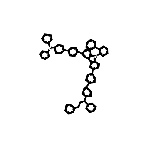 c1ccc(CCC(c2ccccc2)c2ccc(-c3ccc(-c4ccc5c(c4)c4cc(-c6ccc(-c7ccc(N(c8ccccc8)c8ccccc8)cc7)cc6)ccc4n5-c4ccccc4-c4ccccc4)cc3)cc2)cc1